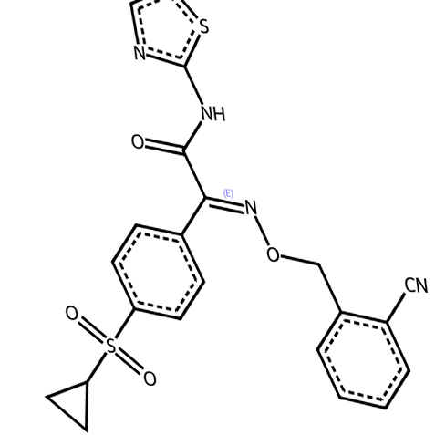 N#Cc1ccccc1CO/N=C(/C(=O)Nc1nccs1)c1ccc(S(=O)(=O)C2CC2)cc1